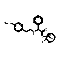 O=C(O)c1ccc(CCNC(C(=O)O[C@H]2CN3CCC2CC3)c2ccccc2)cc1